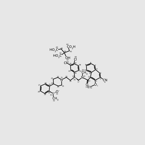 CCOc1c(C#N)cc2ccccc2c1C(=O)N(C)C[C@@H](CCN1CCC(c2ccccc2[S+](C)[O-])CC1)c1ccc(Cl)c(Cl)c1.O=C(O)CC(O)(CC(=O)O)C(=O)O